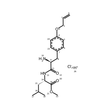 C=CCOc1ccc(C[C@H](N)C(=O)N[C@@H](CC(C)C)C(=O)OC)cc1.[Cl-].[H+]